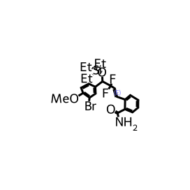 CC[Si](CC)(CC)OC(c1ccc(OC)c(Br)c1)C(F)(F)/C=C/c1ccccc1C(N)=O